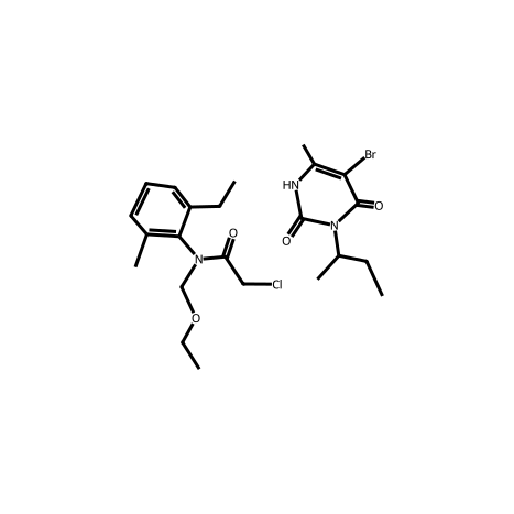 CCC(C)n1c(=O)[nH]c(C)c(Br)c1=O.CCOCN(C(=O)CCl)c1c(C)cccc1CC